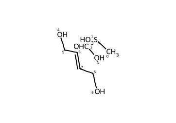 CS(=O)(=O)O.O=CO.OCC=CCO